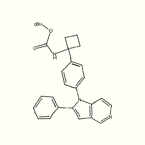 CC(C)(C)OC(=O)NC1(c2ccc(-n3c(-c4ccccc4)cc4cnccc43)cc2)CCC1